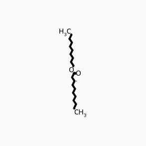 CCCCCCCC[CH]CC(=O)OCCCCCCCCCC